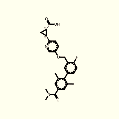 Cc1cc(C(=O)N(C)C)cc(C)c1-c1ccc(F)c(COc2ccc([C@H]3C[C@@H]3C(=O)O)nc2)c1